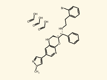 Cn1cc(-c2cnc3c(c2)NC[C@@H]([C@H](NCCc2ccccc2Br)c2ccccc2)O3)cn1.O=CO.O=CO.O=CO